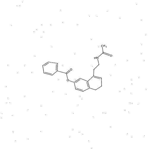 CC(=O)NCCC1=CCCc2ccc(OC(=O)c3ccccc3)cc21